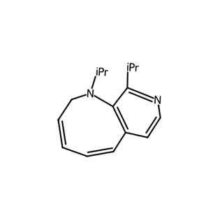 CC(C)c1nccc2c1N(C(C)C)C/C=C\C=C/2